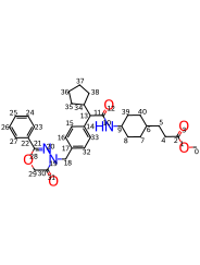 COC(=O)CCC1CCC(NC(=O)C(c2ccc(CN3N=C(c4ccccc4)OCC3=O)cc2)C2CCCC2)CC1